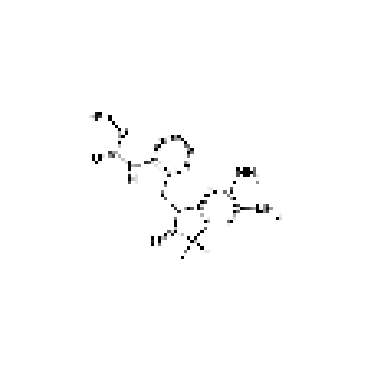 CC(C)(C)OC(=O)Nc1ccccc1CN1C(=O)C(C)(C)c2cc(N)c(N)cc21